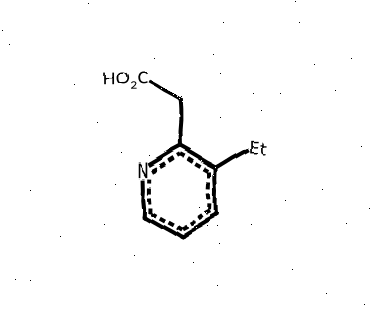 CCc1cccnc1CC(=O)O